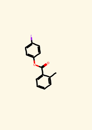 Cc1ccccc1C(=O)Oc1ccc(I)cc1